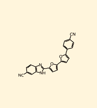 N#Cc1ccc(-c2ccc(-c3ccc(-c4nc5ccc(C#N)cc5[nH]4)o3)o2)cc1